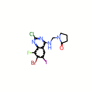 O=C1CCCN1CNc1nc(Cl)nc2c(F)c(Br)c(I)cc12